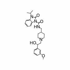 COc1cccc(C(O)CN2CCC(CNC(=O)n3c(=O)n(C(C)C)c4ccccc43)CC2)c1